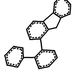 c1ccc(-c2ccccc2-c2cccc3c2Cc2ccccc2-3)cc1